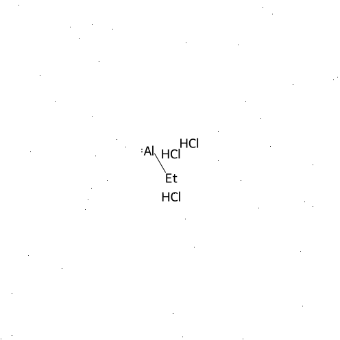 C[CH2][Al].Cl.Cl.Cl